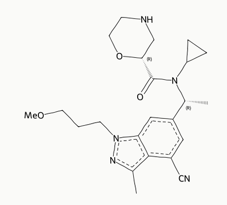 COCCCn1nc(C)c2c(C#N)cc([C@@H](C)N(C(=O)[C@H]3CNCCO3)C3CC3)cc21